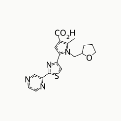 Cc1c(C(=O)O)cc(-c2csc(-c3cnccn3)n2)n1CC1CCCO1